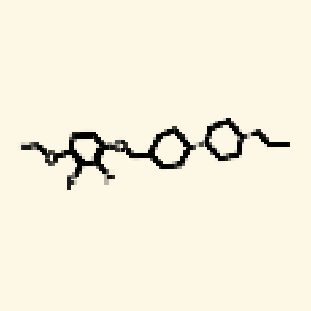 CCC[C@H]1CC[C@H](C2CCC(COc3ccc(OCC)c(F)c3F)CC2)CC1